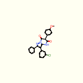 COc1ccc(C2C(=O)Nc3c(-c4cccc(Cl)c4)c(-c4ccccc4)nn3C2=O)cc1